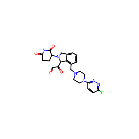 O=CC(=O)C1c2c(CN3CCN(c4ccc(Cl)nn4)CC3)cccc2CN1C1CCC(=O)NC1=O